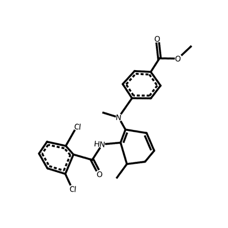 COC(=O)c1ccc(N(C)C2=C(NC(=O)c3c(Cl)cccc3Cl)C(C)CC=C2)cc1